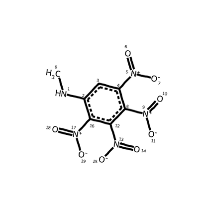 CNc1cc([N+](=O)[O-])c([N+](=O)[O-])c([N+](=O)[O-])c1[N+](=O)[O-]